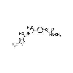 CNC(=O)COc1ccc(C(C)CNCC(O)c2csc(C)n2)cc1